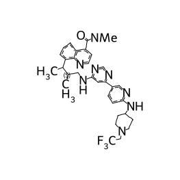 CNC(=O)c1ccnc2c(C(C)[C@H](C)CNc3cc(-c4ccc(NC5CCN(CC(F)(F)F)CC5)nc4)ncn3)cccc12